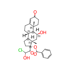 C[C@]12CCC(=O)C=C1CC[C@@H]1[C@@H]2[C@@H](O)C[C@@]2(C)[C@H]1CC[C@]2(OC(=O)c1ccccc1)C(=O)C(O)Cl